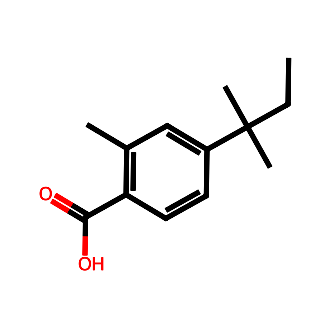 CCC(C)(C)c1ccc(C(=O)O)c(C)c1